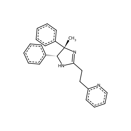 C[C@@]1(c2ccccc2)N=C(CCc2ccccn2)N[C@@H]1c1ccccc1